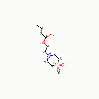 C/C=C/C(=O)OCCN1CCS(=O)(=O)CC1